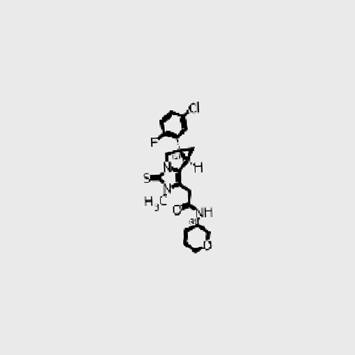 Cn1c(CC(=O)N[C@@H]2CCCOC2)c2n(c1=S)C[C@@]1(c3cc(Cl)ccc3F)C[C@@H]21